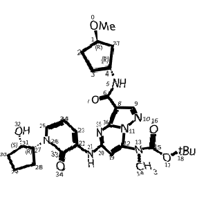 CO[C@@H]1CC[C@@H](NC(=O)c2cnn3c(N(C)C(=O)OC(C)(C)C)cc(Nc4cccn([C@@H]5CCC[C@@H]5O)c4=O)nc23)C1